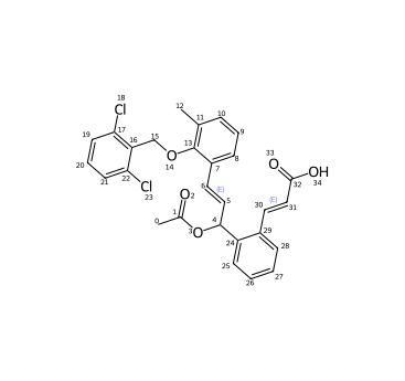 CC(=O)OC(/C=C/c1cccc(C)c1OCc1c(Cl)cccc1Cl)c1ccccc1/C=C/C(=O)O